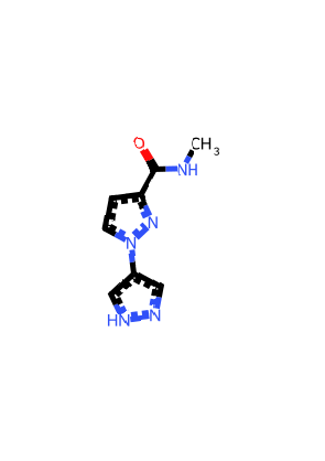 CNC(=O)c1ccn(-c2cn[nH]c2)n1